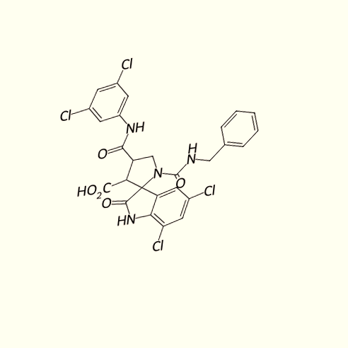 O=C(Nc1cc(Cl)cc(Cl)c1)C1CN(C(=O)NCc2ccccc2)C2(C(=O)Nc3c(Cl)cc(Cl)cc32)C1C(=O)O